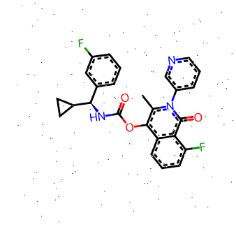 Cc1c(OC(=O)N[C@H](c2cccc(F)c2)C2CC2)c2cccc(F)c2c(=O)n1-c1cccnc1